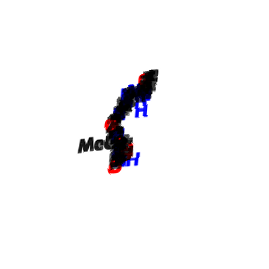 COc1c(N2CCC(OC3CC(N4CC5(CCN(c6cc(-c7[nH]nc8ccc(OC9(C)CC9)cc78)ncn6)CC5)C4)C3)CC2)ccc2c1CN(C1CCC(=O)NC1=O)C2=O